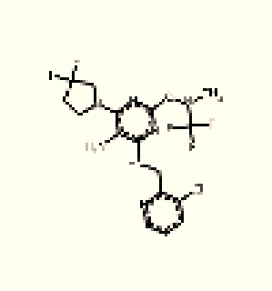 C[C@H](Oc1nc(NCc2ncccc2Cl)c(N)c(N2CCC(F)(F)C2)n1)C(F)(F)F